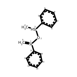 C=[Si](O[SiH](C)c1ccccc1)c1ccccc1